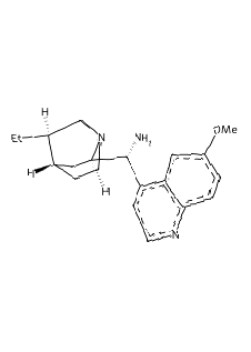 CC[C@H]1CN2CC[C@H]1C[C@@H]2[C@H](N)c1ccnc2ccc(OC)cc12